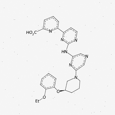 CCOc1ccccc1O[C@@H]1CCCN(c2cncc(Nc3nccc(-c4cccc(C(=O)O)n4)n3)n2)C1